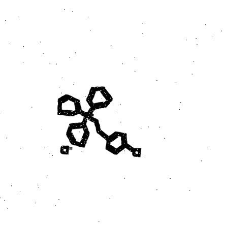 Clc1ccc(CC[P+](c2ccccc2)(c2ccccc2)c2ccccc2)cc1.[Cl-]